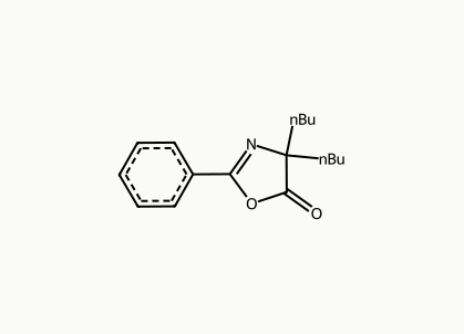 CCCCC1(CCCC)N=C(c2ccccc2)OC1=O